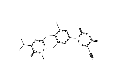 CC(C)c1cc(Oc2c(Cl)cc(-n3nc(C#N)c(=O)[nH]c3=O)cc2Cl)nn(C)c1=O